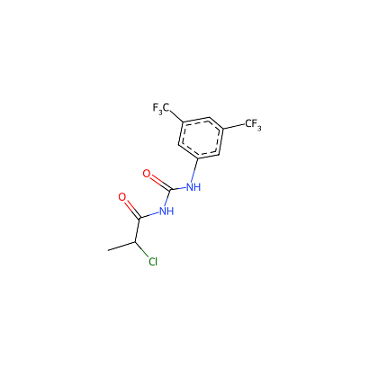 CC(Cl)C(=O)NC(=O)Nc1cc(C(F)(F)F)cc(C(F)(F)F)c1